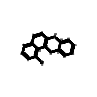 Brc1cccc2ccc3c(c12)Cc1ccccc1S3